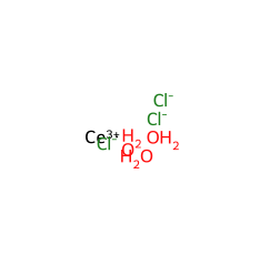 O.O.O.[Ce+3].[Cl-].[Cl-].[Cl-]